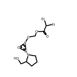 CCC(CC)C(=O)OCOn1on1N1CCCC1CO